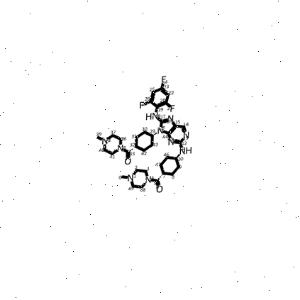 CN1CCN(C(=O)[C@H]2CC[C@H](Nc3ncc4nc(Nc5c(F)cc(F)cc5F)n([C@H]5CC[C@@H](C(=O)N6CCN(C)CC6)CC5)c4n3)CC2)CC1